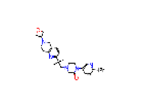 CC(C)c1ccc(N2CCN(CC(C)(C)c3ccc4c(n3)CCN(C3COC3)C4)CC2=O)cn1